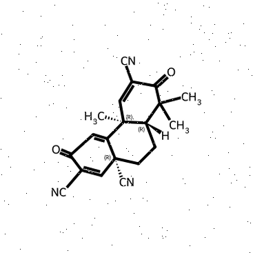 CC1(C)C(=O)C(C#N)=C[C@]2(C)C3=CC(=O)C(C#N)=C[C@]3(C#N)CC[C@@H]12